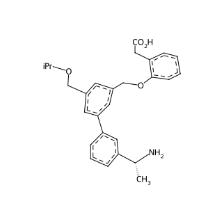 CC(C)OCc1cc(COc2ccccc2CC(=O)O)cc(-c2cccc([C@@H](C)N)c2)c1